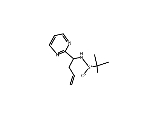 C=CCC(N[S+]([O-])C(C)(C)C)c1ncccn1